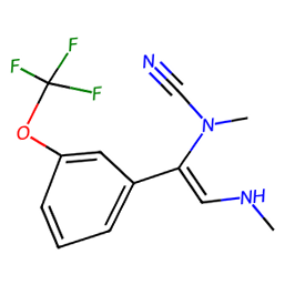 CN/C=C(/c1cccc(OC(F)(F)F)c1)N(C)C#N